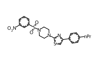 CCCc1ccc(-c2csc(N3CCN(S(=O)(=O)c4cccc([N+](=O)[O-])c4)CC3)n2)cc1